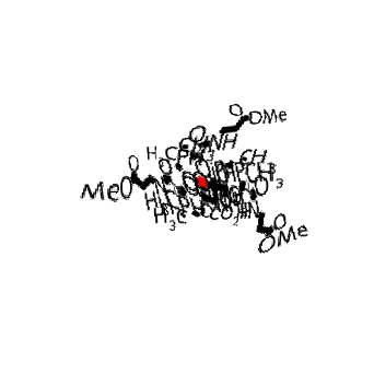 COC(=O)CCNC(=O)[C@@H]1OC(O)(C(C(C)C)(C2(O)OC[PH](C)(C)[C@H](C(=O)NCCC(=O)OC)O2)[C@@](N)(C(=O)O)C2(O)OC[PH](C)(C)[C@H](C(=O)NCCC(=O)OC)O2)OC[PH]1(C)C